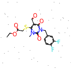 CCOC(=O)CSc1c(C=O)c(=O)n(Cc2ccc(F)c(F)c2)c(=O)n1C